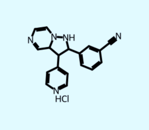 Cl.N#Cc1cccc(C2NN3C=CN=CC3C2c2ccncc2)c1